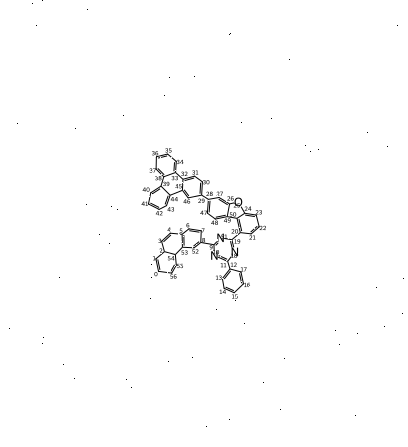 C1=CC2C=Cc3ccc(-c4nc(-c5ccccc5)nc(-c5cccc6oc7cc(-c8ccc9c%10ccccc%10c%10ccccc%10c9c8)ccc7c56)n4)cc3C2C=C1